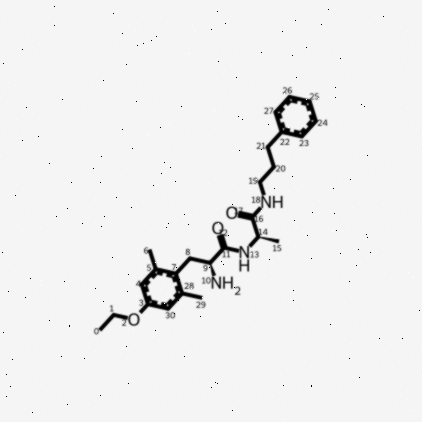 CCOc1cc(C)c(C[C@H](N)C(=O)N[C@H](C)C(=O)NCCCc2ccccc2)c(C)c1